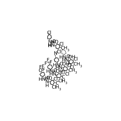 Cc1c(Cl)cc(NC(=O)NC2CCCCC2)c(O)c1Cl.Cc1c(Cl)cc(NC(=O)Nc2ccc(C#N)cc2)c(O)c1Cl.Cc1c(Cl)cc(NC(=O)Nc2ccc(C(F)(F)F)cc2)c(O)c1Cl.Cc1c(Cl)cc(NC(=O)Nc2ccc(Cl)cc2)c(O)c1Cl.Cc1c(Cl)cc(NC(=O)Nc2ccc(OC(F)(F)F)cc2)c(O)c1Cl